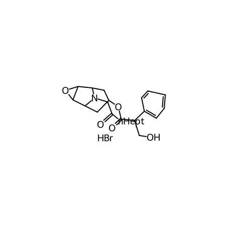 Br.CCCCCCCC(=O)CN1C2CC(OC(=O)C(CO)c3ccccc3)CC1C1OC12